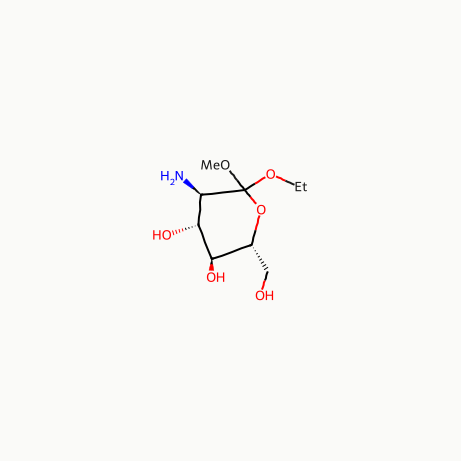 CCOC1(OC)O[C@H](CO)[C@@H](O)[C@H](O)[C@H]1N